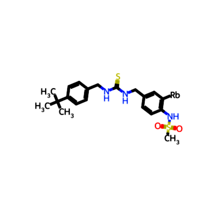 CC(C)(C)c1ccc(CNC(=S)NCc2ccc(NS(C)(=O)=O)[c]([Rb])c2)cc1